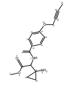 C=C(NC(C(=O)OC)C1(N)CC1)c1ccc(OCC#CC)cc1